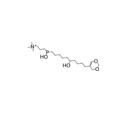 C[N+](C)(C)CCCP(O)CCCCCC(O)CCCCC1=COCOC1